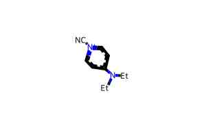 CCN(CC)c1cc[n+](C#N)cc1